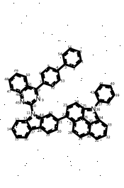 c1ccc(-c2ccc(-c3nc(-n4c5ccccc5c5ccc(-c6ccc7c8c6ccc6cccc(c68)n7-c6ccccc6)cc54)nc4ccccc34)cc2)cc1